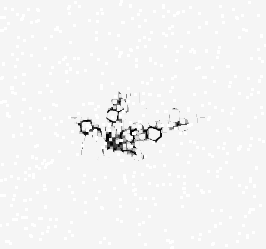 COC(=O)COc1ccc(C[C@H]2C(=O)N(Cc3cccc4sc(N)nc34)C[C@H]3N2C(=O)CN3N(C)C(=O)NCc2ccc(F)cc2)cc1